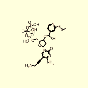 CSSc1cc(C(S)OC2C[C@H](n3cc(C#CCN)c(N)nc3=O)O[C@@H]2COP(=O)(O)OP(=O)(O)OP(=O)(O)O)ccn1